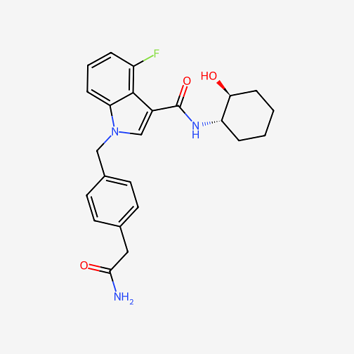 NC(=O)Cc1ccc(Cn2cc(C(=O)N[C@H]3CCCC[C@@H]3O)c3c(F)cccc32)cc1